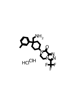 Cc1cccc(C2(CN)CCC(N3CCn4c(nnc4C(F)(F)F)C3=O)CC2)c1.Cl.Cl